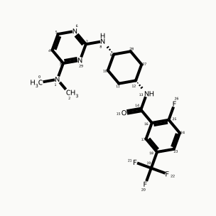 CN(C)c1ccnc(N[C@H]2CC[C@@H](NC(=O)c3cc(C(F)(F)F)ccc3F)CC2)n1